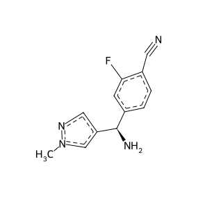 Cn1cc([C@H](N)c2ccc(C#N)c(F)c2)cn1